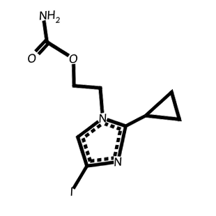 NC(=O)OCCn1cc(I)nc1C1CC1